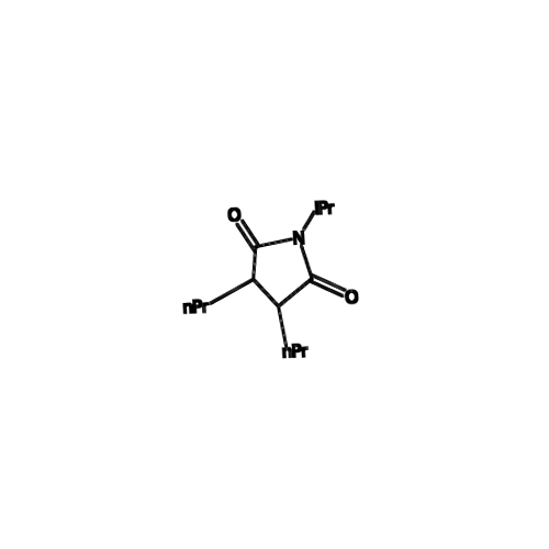 CCCC1C(=O)N(C(C)C)C(=O)C1CCC